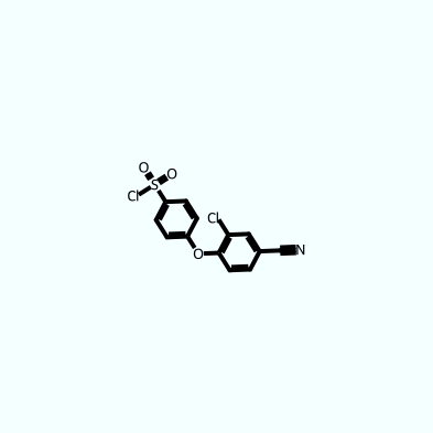 N#Cc1ccc(Oc2ccc(S(=O)(=O)Cl)cc2)c(Cl)c1